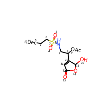 CCCCCCCCCCCCS(=O)(=O)NCC(OC(C)=O)C1=CC(=O)OC1O